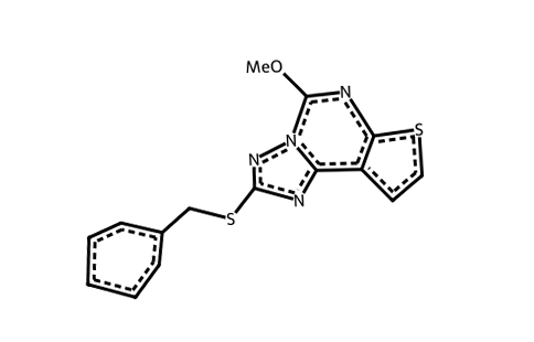 COc1nc2sccc2c2nc(SCc3ccccc3)nn12